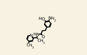 Cc1ccnc(C(C)NC(=O)CCc2ccc(N)c(O)c2)c1